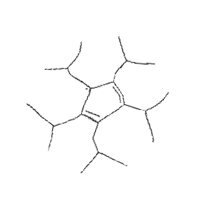 CC(C)[C]1C(C(C)C)=C(C(C)C)C(C(C)C)=C1C(C)C